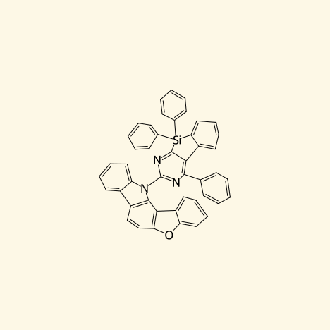 c1ccc(-c2nc(-n3c4ccccc4c4ccc5oc6ccccc6c5c43)nc3c2-c2ccccc2[Si]3(c2ccccc2)c2ccccc2)cc1